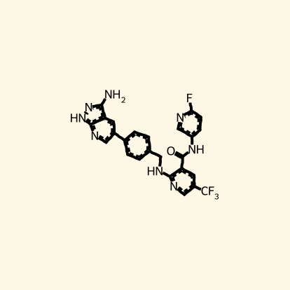 Nc1n[nH]c2ncc(-c3ccc(CNc4ncc(C(F)(F)F)cc4C(=O)Nc4ccc(F)nc4)cc3)cc12